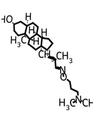 CC(/C=N/OCCCN(C)C)=C\[C@H]1CC[C@H]2[C@@H]3CC[C@@H]4C[C@@H](O)CC[C@]4(C)[C@H]3CC[C@]12C